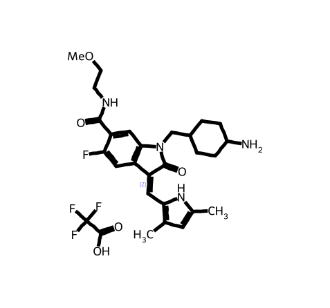 COCCNC(=O)c1cc2c(cc1F)/C(=C/c1[nH]c(C)cc1C)C(=O)N2CC1CCC(N)CC1.O=C(O)C(F)(F)F